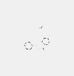 C=C(C)CCc1c(O)cc(OC)c2c1OC(c1ccc(O)cc1)CC2=O